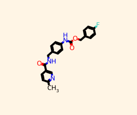 Cc1ccc(C(=O)NCc2ccc(NC(=O)OCc3ccc(F)cc3)cc2)cn1